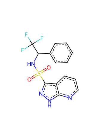 O=S(=O)(NC(c1ccccc1)C(F)(F)F)c1n[nH]c2ncccc12